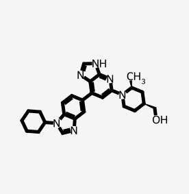 C[C@H]1C[C@@H](CO)CCN1c1cc(-c2ccc3c(c2)ncn3C2CCCCC2)c2nc[nH]c2n1